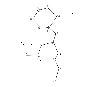 CC[CH]CC(CCC)CN1CCOCC1